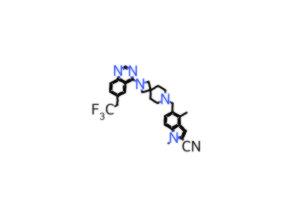 Cc1c(CN2CCC3(CC2)CN(c2ncnc4ccc(CC(F)(F)F)cc24)C3)ccc2c1cc(C#N)n2C